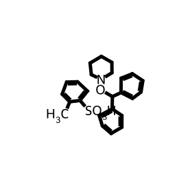 Cc1ccccc1S(=O)(=O)O.c1ccc(C(ON2CCCCC2)c2ccccc2)cc1